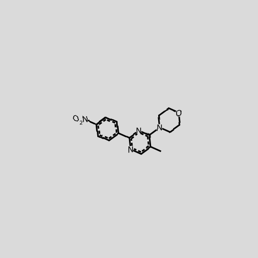 Cc1cnc(-c2ccc([N+](=O)[O-])cc2)nc1N1CCOCC1